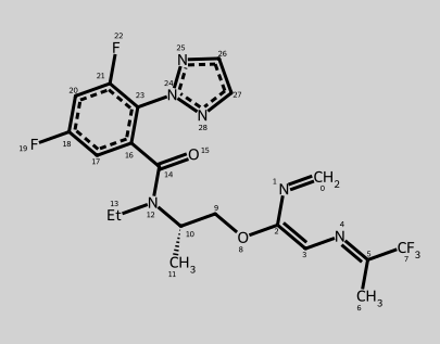 C=N/C(=C\N=C(/C)C(F)(F)F)OC[C@H](C)N(CC)C(=O)c1cc(F)cc(F)c1-n1nccn1